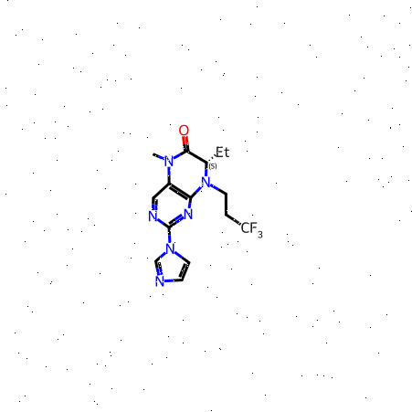 CC[C@H]1C(=O)N(C)c2cnc(-n3ccnc3)nc2N1CCC(F)(F)F